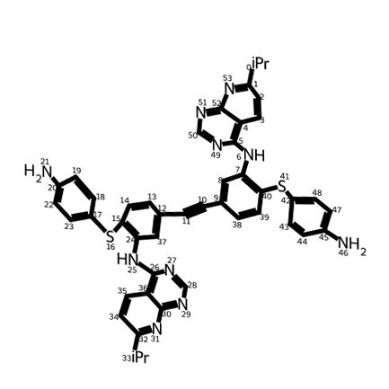 CC(C)c1ccc2c(Nc3cc(C#Cc4ccc(Sc5ccc(N)cc5)c(Nc5ncnc6nc(C(C)C)ccc56)c4)ccc3Sc3ccc(N)cc3)ncnc2n1